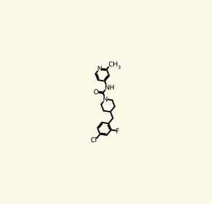 Cc1cc(NC(=O)N2CCC(Cc3ccc(Cl)cc3F)CC2)ccn1